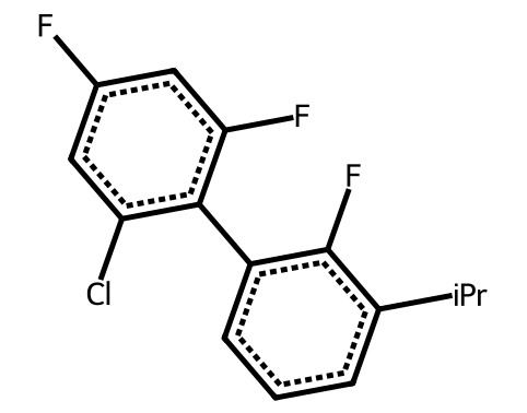 CC(C)c1cccc(-c2c(F)cc(F)cc2Cl)c1F